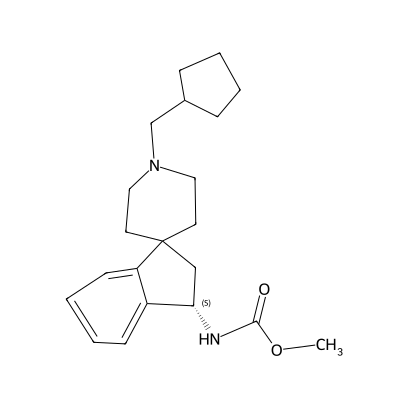 COC(=O)N[C@H]1CC2(CCN(CC3CCCC3)CC2)c2ccccc21